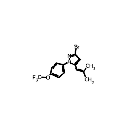 CC(C)=Cc1cc(Br)nn1-c1ccc(OC(F)(F)F)cc1